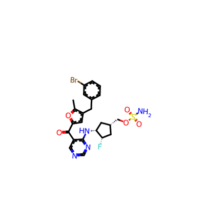 Cc1oc(C(=O)c2cncnc2N[C@@H]2C[C@H](COS(N)(=O)=O)C[C@@H]2F)cc1Cc1cccc(Br)c1